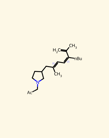 C=C(C)/C(=C\C=C(/C)CC1CCN(CC(C)=O)C1)CCCC